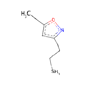 Cc1cc(CC[SiH3])no1